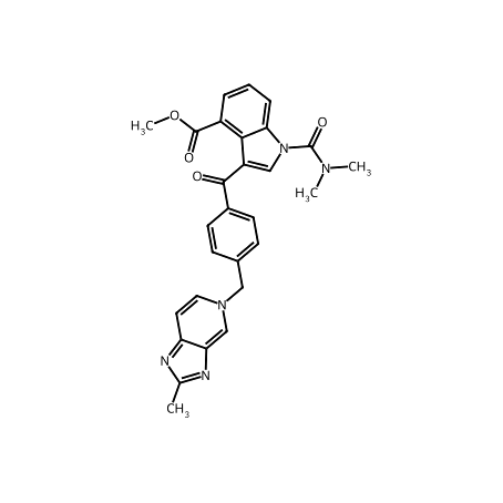 COC(=O)c1cccc2c1c(C(=O)c1ccc(Cn3ccc4nc(C)nc-4c3)cc1)cn2C(=O)N(C)C